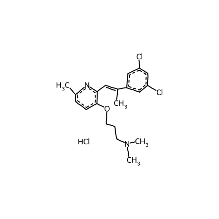 C/C(=C\c1nc(C)ccc1OCCCN(C)C)c1cc(Cl)cc(Cl)c1.Cl